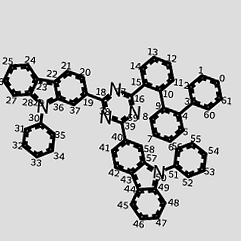 c1ccc(-c2ccccc2-c2ccccc2-c2nc(-c3ccc4c5ccccc5n(-c5ccccc5)c4c3)nc(-c3ccc4c5ccccc5n(-c5ccccc5)c4c3)n2)cc1